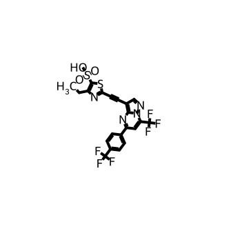 CCc1nc(C#Cc2cnn3c(C(F)(F)F)cc(-c4ccc(C(F)(F)F)cc4)nc23)sc1S(=O)(=O)O